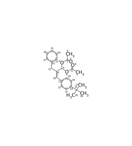 CC(=O)OC(OC(C)=O)C(=Cc1ccc(C(C)(C)C)cc1)Cc1ccccc1